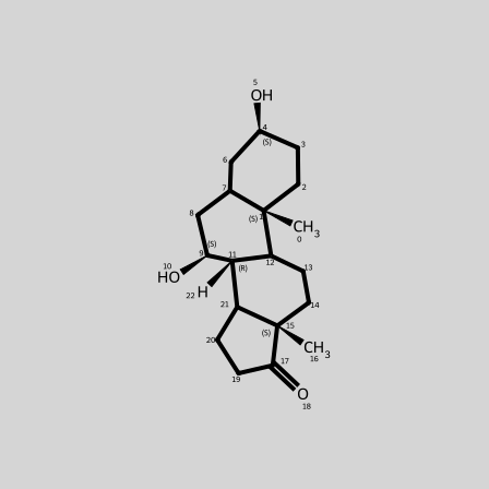 C[C@]12CC[C@H](O)CC1C[C@H](O)[C@@H]1C2CC[C@]2(C)C(=O)CCC12